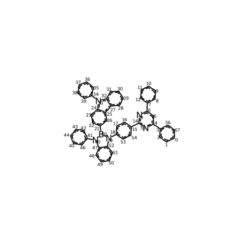 c1ccc(-c2cc(-c3ccccc3)nc(-c3ccc(N4B(c5ccc6c(c5)c5ccccc5n6-c5ccccc5)N(c5ccccc5)c5ccccc54)cc3)n2)cc1